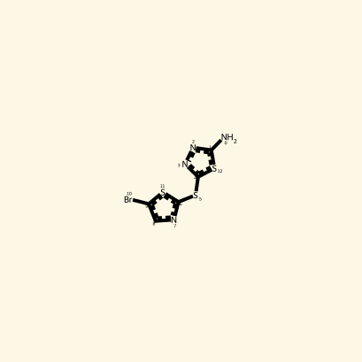 Nc1nnc(Sc2ncc(Br)s2)s1